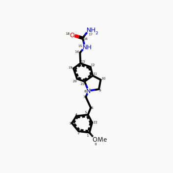 COc1cccc(CCN2CCc3cc(CNC(N)=O)ccc32)c1